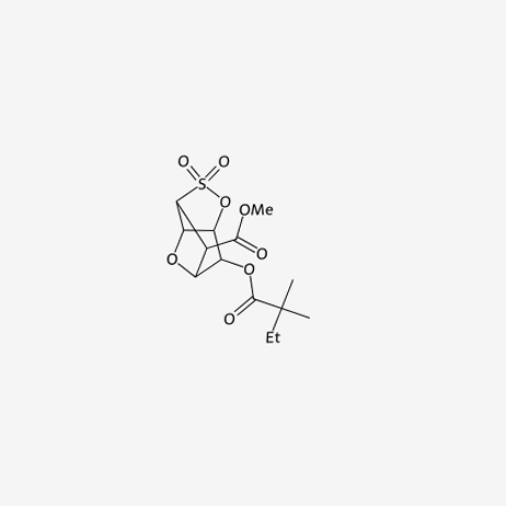 CCC(C)(C)C(=O)OC1C2OS(=O)(=O)C3C2OC1C3C(=O)OC